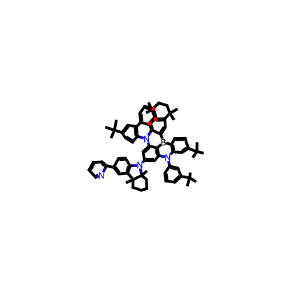 CC(C)(C)c1cccc(N2c3cc(C(C)(C)C)ccc3B3c4cc5c(cc4N(c4ccc(C(C)(C)C)cc4-c4ccccc4)c4cc(N6c7ccc(-c8ccccn8)cc7C7(C)CCCCC67C)cc2c43)C(C)(C)CCC5(C)C)c1